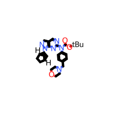 CC(C)(C)OC(=O)N(c1ccc(CN2CCOCC2)cc1)c1ncc2cnn([C@H]3C[C@@H]4CC[C@H]3C4)c2n1